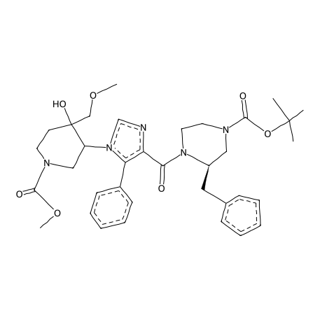 COCC1(O)CCN(C(=O)OC)CC1n1cnc(C(=O)N2CCN(C(=O)OC(C)(C)C)C[C@H]2Cc2ccccc2)c1-c1ccccc1